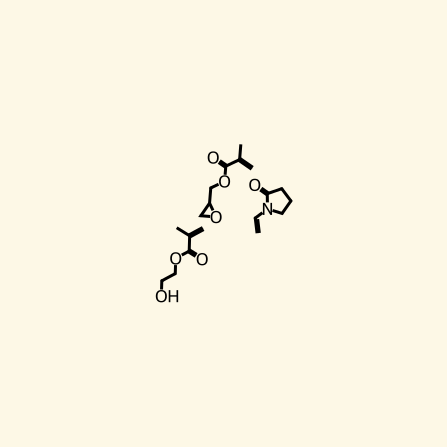 C=C(C)C(=O)OCC1CO1.C=C(C)C(=O)OCCO.C=CN1CCCC1=O